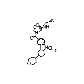 CCN(CC(=O)NCC#N)C(=O)c1ccc2c(c1)C1CC(C3CCOCC3)CCC1N2C